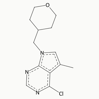 Cc1cn(CC2CCOCC2)c2ncnc(Cl)c12